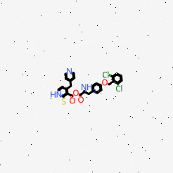 N[C@@H](Cc1ccc(OCc2c(Cl)cccc2Cl)cc1)C(=O)OC(=O)c1c(Cc2ccncc2)cc[nH]c1=S